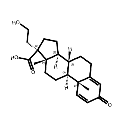 C[C@]12C=CC(=O)C=C1CC[C@@H]1[C@@H]2CC[C@@]2(C)[C@H]1CC[C@]2(CCO)C(=O)O